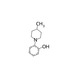 CC1CCN(c2ccccc2O)CC1